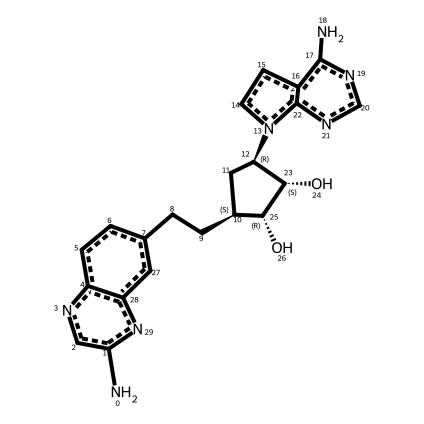 Nc1cnc2ccc(CC[C@H]3C[C@@H](n4ccc5c(N)ncnc54)[C@H](O)[C@@H]3O)cc2n1